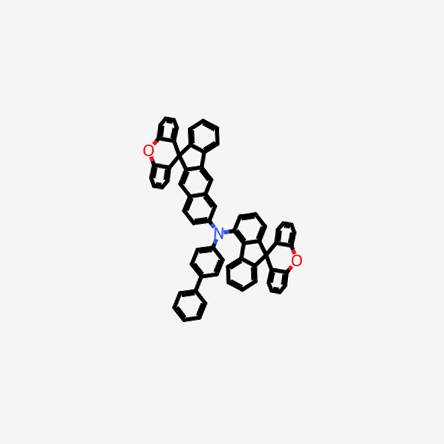 c1ccc(-c2ccc(N(c3ccc4cc5c(cc4c3)-c3ccccc3C53c4ccccc4Oc4ccccc43)c3cccc4c3-c3ccccc3C43c4ccccc4Oc4ccccc43)cc2)cc1